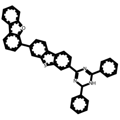 c1ccc(C2=NC(c3ccc4c(c3)sc3cc(-c5cccc6c5oc5ccccc56)ccc34)=NC(c3ccccc3)N2)cc1